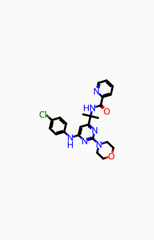 CC(C)(NC(=O)c1ccccn1)c1cc(Nc2ccc(Cl)cc2)nc(N2CCOCC2)n1